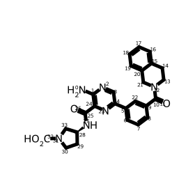 Nc1ncc(-c2cccc(C(=O)N3CCc4ccccc4C3)c2)nc1C(=O)N[C@H]1CCN(C(=O)O)C1